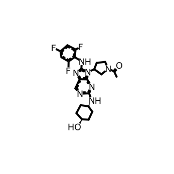 CC(=O)N1CCC(n2c(Nc3c(F)cc(F)cc3F)nc3cnc(N[C@H]4CC[C@H](O)CC4)nc32)C1